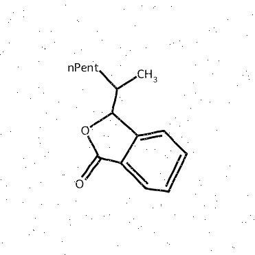 CCCCCC(C)C1OC(=O)c2ccccc21